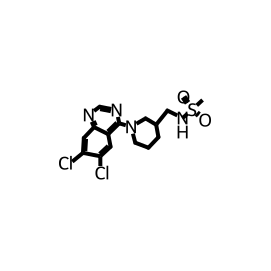 CS(=O)(=O)NCC1CCCN(c2ncnc3cc(Cl)c(Cl)cc23)C1